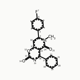 Cn1c(-c2ccc(F)cc2)cc2oc(=O)nc(-c3ccccc3)c2c1=O